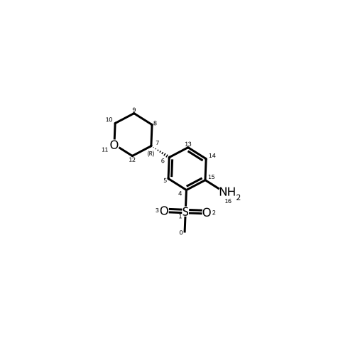 CS(=O)(=O)c1cc([C@H]2CCCOC2)ccc1N